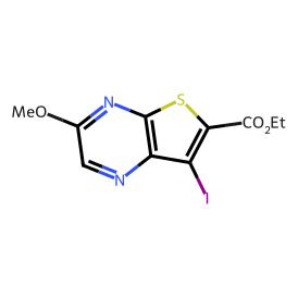 CCOC(=O)c1sc2nc(OC)cnc2c1I